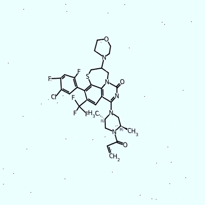 C=CC(=O)N1C[C@H](C)N(c2nc(=O)n3c4c(c(-c5cc(Cl)c(F)cc5F)c(C(F)(F)F)cc24)SCC(N2CCOCC2)C3)C[C@H]1C